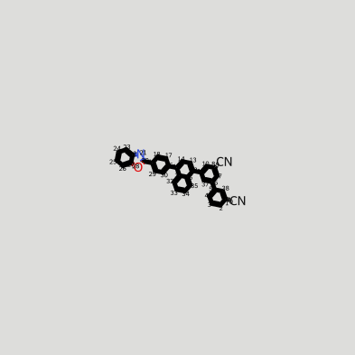 N#Cc1cccc(-c2cc(C#N)cc(-c3ccc(-c4ccc(-c5nc6ccccc6o5)cc4)c4ccccc34)c2)c1